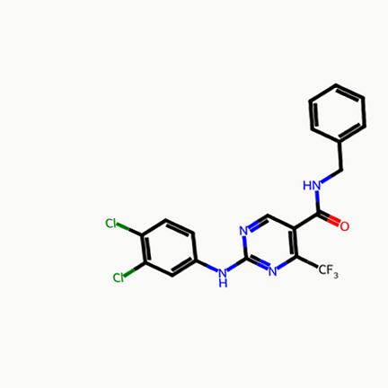 O=C(NCc1ccccc1)c1cnc(Nc2ccc(Cl)c(Cl)c2)nc1C(F)(F)F